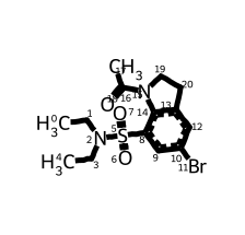 CCN(CC)S(=O)(=O)c1cc(Br)cc2c1N(C(C)=O)CC2